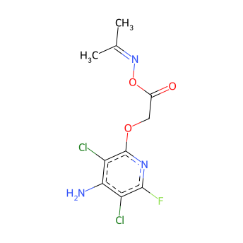 CC(C)=NOC(=O)COc1nc(F)c(Cl)c(N)c1Cl